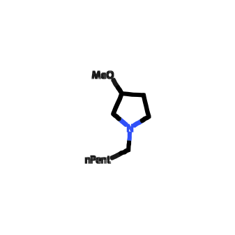 CCCCCCN1CCC(OC)C1